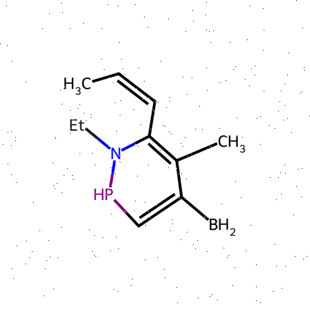 BC1=CPN(CC)C(/C=C\C)=C1C